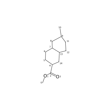 COC(=O)C1CCC2CC(C)CCC2C1